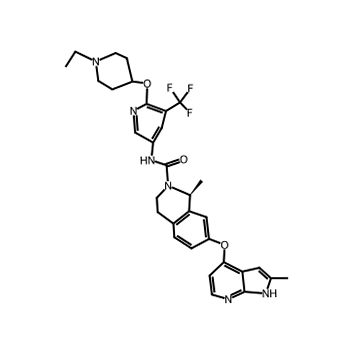 CCN1CCC(Oc2ncc(NC(=O)N3CCc4ccc(Oc5ccnc6[nH]c(C)cc56)cc4[C@@H]3C)cc2C(F)(F)F)CC1